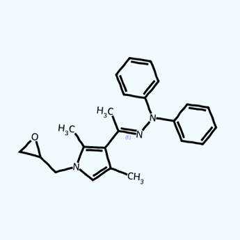 C/C(=N\N(c1ccccc1)c1ccccc1)c1c(C)cn(CC2CO2)c1C